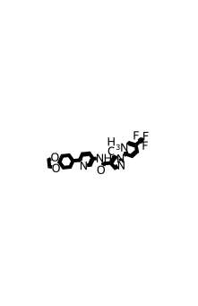 Cc1c(C(=O)Nc2ccc(C3CCC4(CC3)OCCO4)nc2)cnn1-c1ccc(C(F)(F)F)cn1